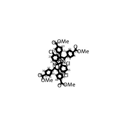 COC(=O)c1ccc(C2=NC(c3ccc(Cl)cc3Cl)(C3(c4ccc(Cl)cc4Cl)N=C(c4ccc(C(=O)OC)cc4)C(c4ccc(C(=O)OC)cc4)=N3)N=C2c2ccc(C(=O)OC)cc2)cc1